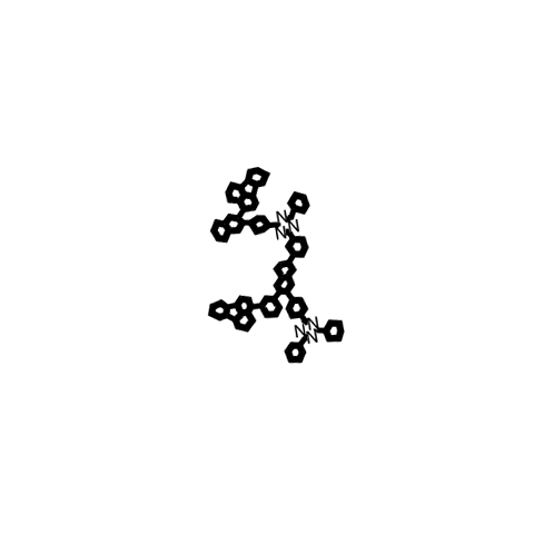 c1ccc(-c2nc(-c3ccccc3)nc(-c3ccc(-c4cc5cc(-c6cccc(-c7nc(-c8ccccc8)nc(-c8ccc(-c9cc%10ccccc%10cc9-c9ccc%10c%11c(cccc9%11)-c9ccccc9-%10)cc8)n7)c6)ccc5cc4-c4cccc(-c5ccc6c7c(cccc57)-c5ccccc5-6)c4)cc3)n2)cc1